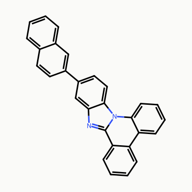 c1ccc2cc(-c3ccc4c(c3)nc3c5ccccc5c5ccccc5n43)ccc2c1